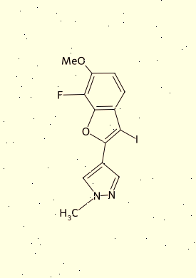 COc1ccc2c(I)c(-c3cnn(C)c3)oc2c1F